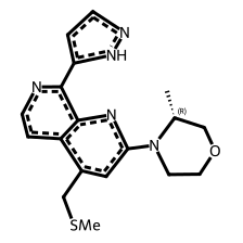 CSCc1cc(N2CCOC[C@H]2C)nc2c(-c3ccn[nH]3)nccc12